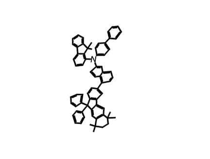 CC1(C)CCC(C)(C)c2cc3c(cc21)-c1cc(-c2cccc4cc(N(c5ccc(-c6ccccc6)cc5)c5cccc6c5C(C)(C)c5ccccc5-6)ccc24)ccc1C3(c1ccccc1)c1ccccc1